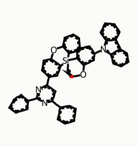 c1ccc(-c2cc(-c3ccc4c(c3)[Si]3(c5ccccc5Oc5cc(-n6c7ccccc7c7ccccc76)ccc53)c3ccccc3O4)nc(-c3ccccc3)n2)cc1